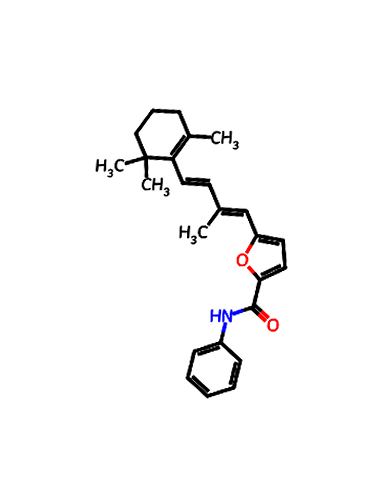 CC1=C(/C=C/C(C)=C/c2ccc(C(=O)Nc3ccccc3)o2)C(C)(C)CCC1